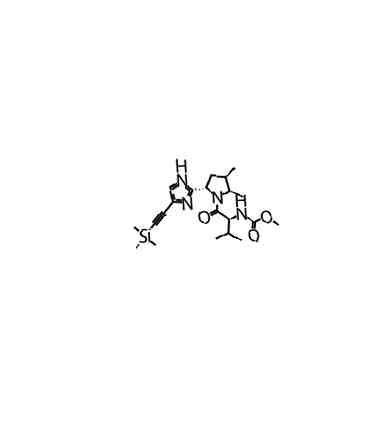 COC(=O)N[C@H](C(=O)N1[C@H](C)[C@H](C)C[C@H]1c1nc(C#C[Si](C)(C)C)c[nH]1)C(C)C